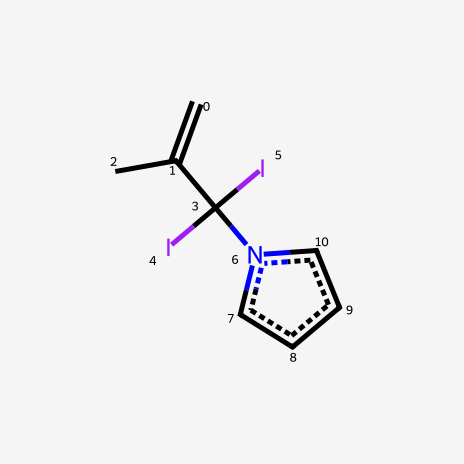 C=C(C)C(I)(I)n1cccc1